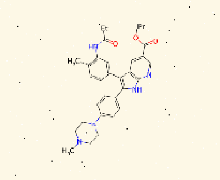 CCC(=O)Nc1cc(-c2c(-c3ccc(N4CCN(C)CC4)cc3)[nH]c3ncc(C(=O)OC(C)C)cc23)ccc1C